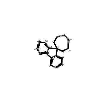 [c]1ccc2c(c1)C1(CCCCCC1)c1c[c]ccc1-2